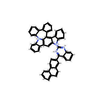 c1ccc2c(c1)-c1ccccc1-n1c3ccccc3c3cc4c(c-2c31)c1ccccc1n4-c1nc(-c2ccc3c(ccc4ccccc43)c2)c2ccccc2n1